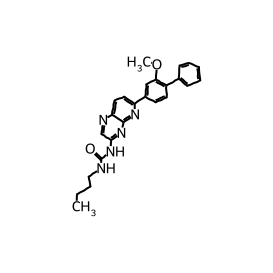 CCCCNC(=O)Nc1cnc2ccc(-c3ccc(-c4ccccc4)c(OC)c3)nc2n1